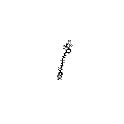 CC1(C)OCc2cc(C(O)CNCCCCCCOCCCCCc3cccc(N4C(=O)CNC4=O)c3)ccc2O1